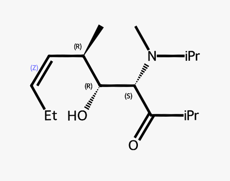 CC/C=C\[C@@H](C)[C@@H](O)[C@@H](C(=O)C(C)C)N(C)C(C)C